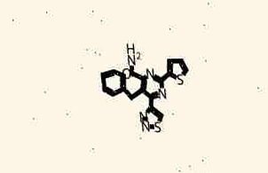 NC(=O)c1nc(-c2cccs2)nc(-c2csnn2)c1Cc1ccccc1